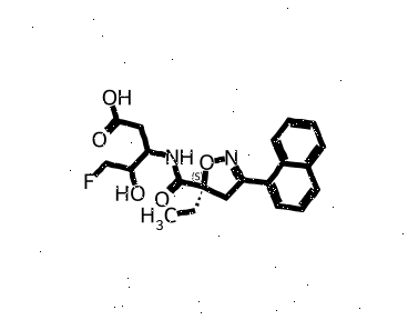 CC[C@@]1(C(=O)NC(CC(=O)O)C(O)CF)CC(c2cccc3ccccc23)=NO1